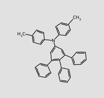 Cc1ccc(N(c2ccc(C)cc2)c2cc(-c3ccccc3)c(-c3ccccc3)c(-c3ccccc3)c2)cc1